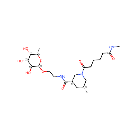 CNC(=O)CCCCC(=O)N1C[C@H](C)C[C@H](C(=O)NCCO[C@@H]2O[C@@H](C)[C@@H](O)[C@@H](O)[C@@H]2O)C1